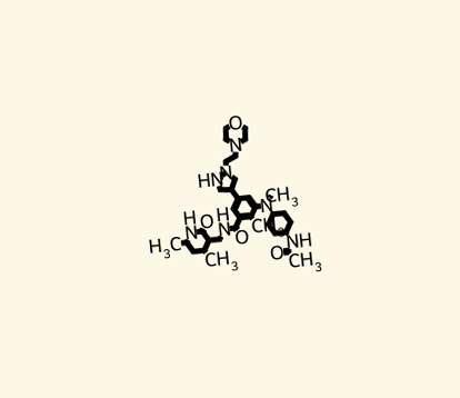 CC(=O)N[C@H]1CC[C@@H](N(C)c2cc(C3CNN(CCN4CCOCC4)C3)cc(C(=O)NCC3C(=O)NC(C)CC3C)c2C)CC1